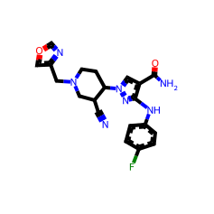 N#CC1CN(Cc2cocn2)CCC1n1cc(C(N)=O)c(Nc2ccc(F)cc2)n1